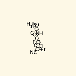 CCc1cc(C#N)cc(Oc2c(Cl)ccc(OCC(=O)Nc3ccc(S(N)(=O)=O)cc3Cl)c2F)c1